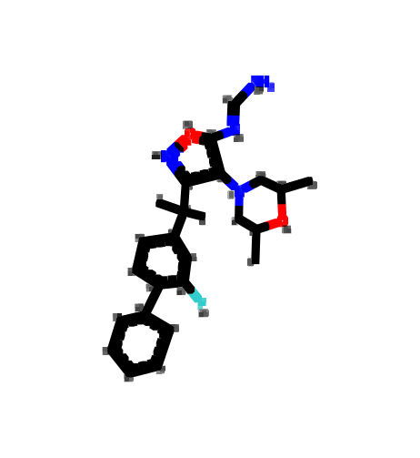 CC1CN(c2c(C(C)(C)c3ccc(-c4ccccc4)c(F)c3)noc2N=CN)CC(C)O1